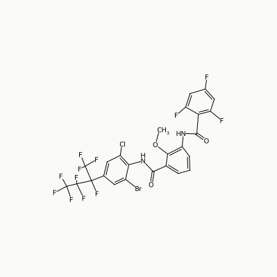 COc1c(NC(=O)c2c(F)cc(F)cc2F)cccc1C(=O)Nc1c(Cl)cc(C(F)(C(F)(F)F)C(F)(F)C(F)(F)F)cc1Br